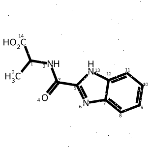 CC(NC(=O)c1nc2ccccc2[nH]1)C(=O)O